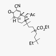 CCOC(=O)[C@@](C)(CCC(C)(C)CC)CCC(C)(C)[C@]1(C)CC[C@H]2[C@H](C)C(=O)C(C#N)=C[C@]2(C)[C@H]1CC(C)=O